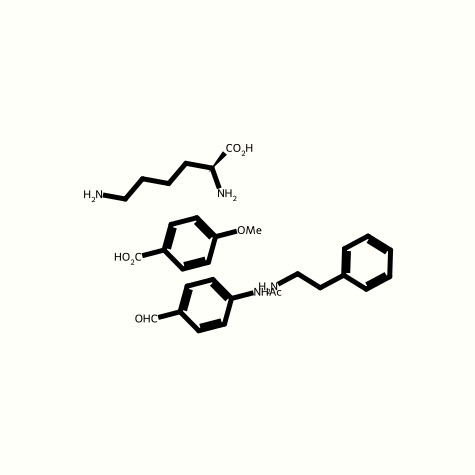 CC(=O)Nc1ccc(C=O)cc1.COc1ccc(C(=O)O)cc1.NCCCC[C@H](N)C(=O)O.NCCc1ccccc1